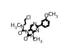 COc1cccc(-c2ncc3c(n2)n(C)c(=O)n3C(=O)N(C)CCCl)c1